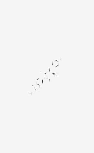 COc1ccc(C=C(C#N)C(=O)N(c2ccc3nc(S)sc3c2)C(C)C)cc1